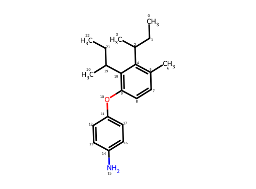 CCC(C)c1c(C)ccc(Oc2ccc(N)cc2)c1C(C)CC